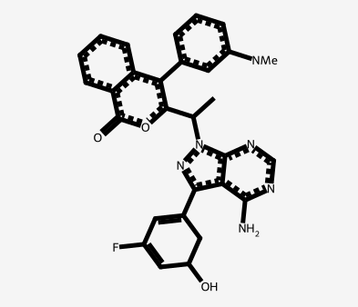 CNc1cccc(-c2c(C(C)n3nc(C4=CC(F)=CC(O)C4)c4c(N)ncnc43)oc(=O)c3ccccc23)c1